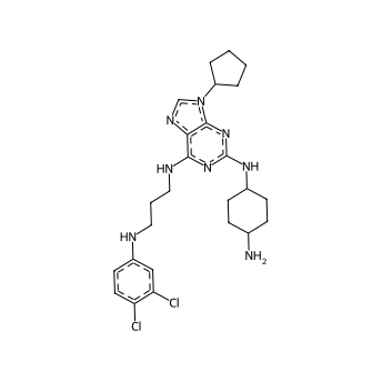 NC1CCC(Nc2nc(NCCCNc3ccc(Cl)c(Cl)c3)c3ncn(C4CCCC4)c3n2)CC1